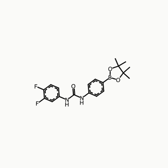 CC1(C)OB(c2ccc(NC(=O)Nc3ccc(F)c(F)c3)cc2)OC1(C)C